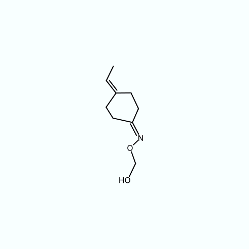 CC=C1CCC(=NOCO)CC1